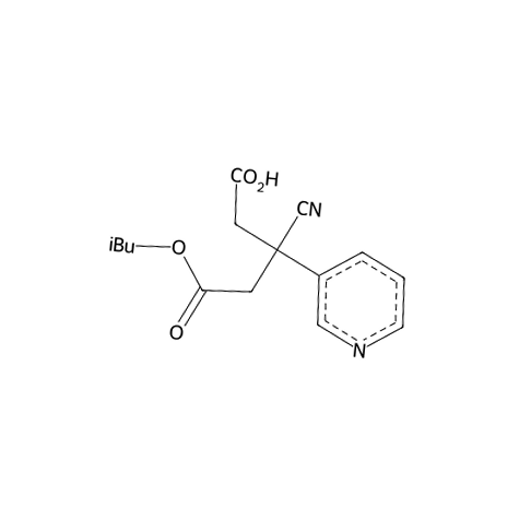 CCC(C)OC(=O)CC(C#N)(CC(=O)O)c1cccnc1